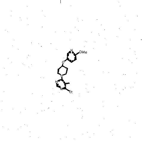 CCc1ncnc(N2CCC(Oc3ccc(OC)nc3)CC2)c1C